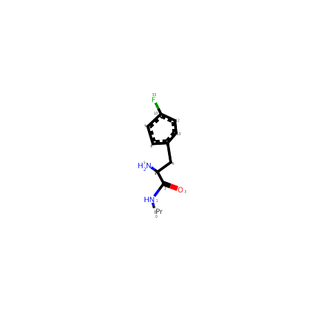 CC(C)NC(=O)C(N)Cc1ccc(F)cc1